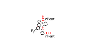 CCCCCC(O)c1cccc(C(OC(c2cccc(C(O)CCCCC)c2)c2cccc(C(F)(F)F)c2)c2cccc(C(F)(F)F)c2)c1